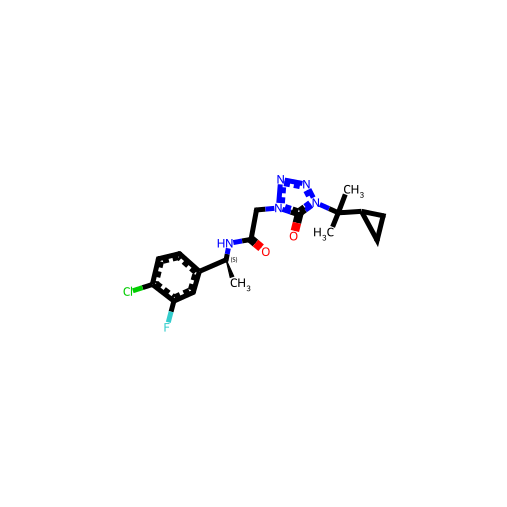 C[C@H](NC(=O)Cn1nnn(C(C)(C)C2CC2)c1=O)c1ccc(Cl)c(F)c1